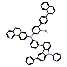 CC1C=C(N(c2cccc(-c3cccc4c3c3cc(-c5ccccc5)ccc3n4-c3ccccc3)c2)c2ccc3c(ccc4ccccc43)c2)C=CC1c1ccc(-c2cccc3ccccc23)cc1